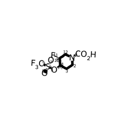 O=C(O)N1CC[C@@H](OS(=O)(=O)C(F)(F)F)[C@H](F)C1